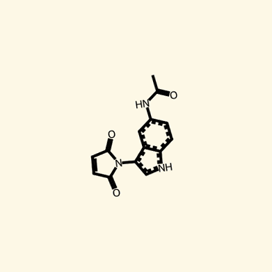 CC(=O)Nc1ccc2[nH]cc(N3C(=O)C=CC3=O)c2c1